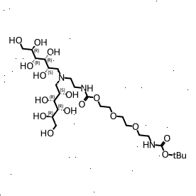 CC(C)(C)OC(=O)NCCOCCOCCOC(=O)NCCN(C[C@H](O)[C@@H](O)[C@H](O)[C@H](O)CO)C[C@H](O)[C@@H](O)[C@H](O)[C@H](O)CO